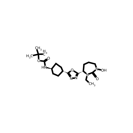 CCN1C(=O)N(O)CCC[C@H]1c1nnc([C@H]2CC[C@H](NC(=O)OC(C)(C)C)CC2)o1